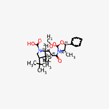 [2H]C1([2H])C(C(C)(C)C)CN(C(=O)O)[C@]1([2H])[C@H](OC)[C@@H](C)C(=O)N1C(=O)O[C@@H](c2ccccc2)[C@H]1C